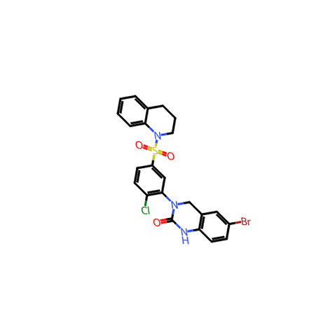 O=C1Nc2ccc(Br)cc2CN1c1cc(S(=O)(=O)N2CCCc3ccccc32)ccc1Cl